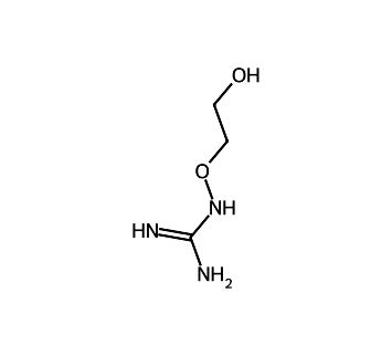 N=C(N)NOCCO